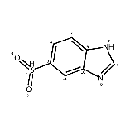 O=[SH](=O)c1ccc2[nH]cnc2c1